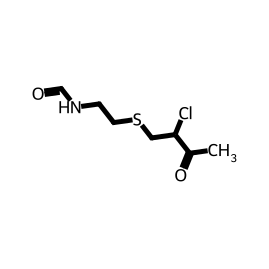 CC(=O)C(Cl)CSCCNC=O